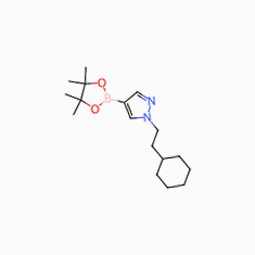 CC1(C)OB(c2cnn(CCC3CCCCC3)c2)OC1(C)C